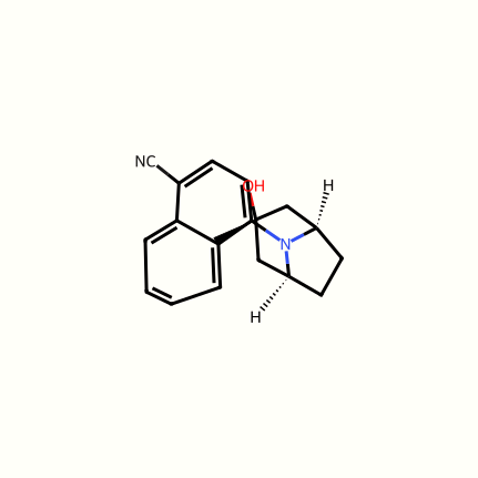 C[C@@]1(O)C[C@H]2CC[C@@H](C1)N2c1ccc(C#N)c2ccccc12